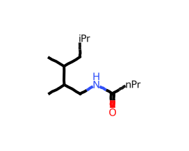 CCCC(=O)NCC(C)C(C)CC(C)C